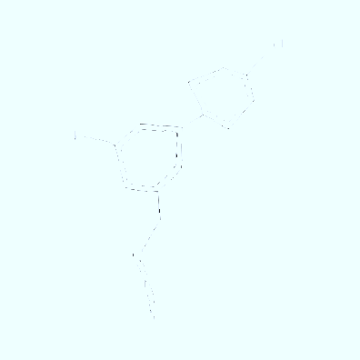 [N-]=[N+]=NCc1cc(F)cc(-c2ccc(Cl)cc2)c1